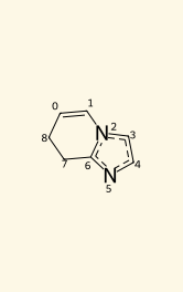 C1=Cn2ccnc2CC1